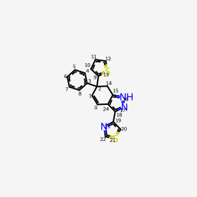 C1=CC(c2ccccc2)(c2cccs2)Cc2[nH]nc(-c3cscn3)c21